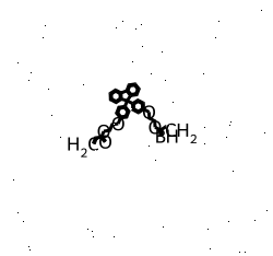 B=C(C=C)OCCOc1ccc(C2(c3ccc(OCCOC(=O)C=C)cc3)c3ccccc3-c3ccccc32)cc1